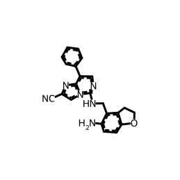 N#Cc1cn2c(NCc3c(N)ccc4c3CCO4)ncc(-c3ccccc3)c2n1